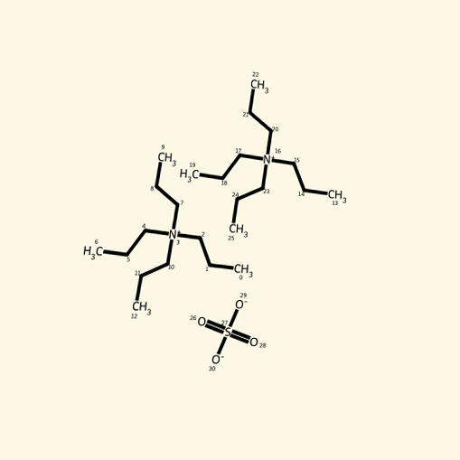 CCC[N+](CCC)(CCC)CCC.CCC[N+](CCC)(CCC)CCC.O=S(=O)([O-])[O-]